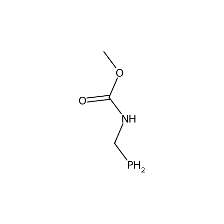 COC(=O)NCP